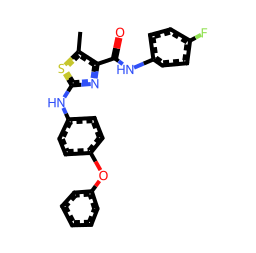 Cc1sc(Nc2ccc(Oc3ccccc3)cc2)nc1C(=O)Nc1ccc(F)cc1